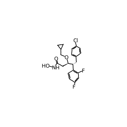 O=C(C[C@@H](OCC1CC1)[C@H](Cc1ccc(Cl)cc1)c1ccc(F)cc1F)NO